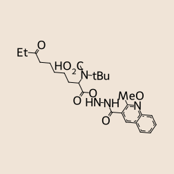 CCC(=O)CCCCCC(C(=O)ONNC(=O)c1cc2ccccc2nc1OC)N(C(=O)O)C(C)(C)C